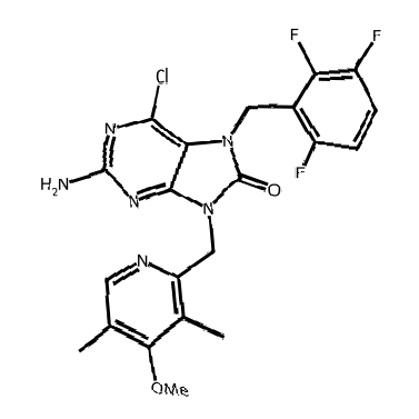 COc1c(C)cnc(Cn2c(=O)n(Cc3c(F)ccc(F)c3F)c3c(Cl)nc(N)nc32)c1C